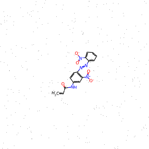 C=CC(=O)Nc1ccc(N=Nc2ccccc2[N+](=O)[O-])c([N+](=O)[O-])c1